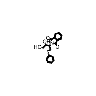 O=C1c2ccccc2C(=O)N1C(CSc1ccccc1)C(O)CO